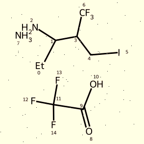 CCC(N)C(CI)C(F)(F)F.N.O=C(O)C(F)(F)F